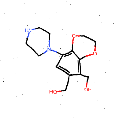 OCc1cc(N2CCNCC2)c2c(c1CO)OCCO2